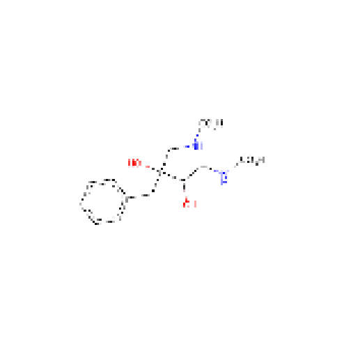 O=C(O)NCC(O)C(O)(CNC(=O)O)Cc1ccccc1